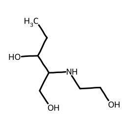 CCC(O)C(CO)NCCO